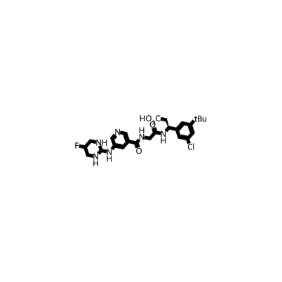 CC(C)(C)c1cc(Cl)cc([C@H](CC(=O)O)NC(=O)CNC(=O)c2cncc(NC3NCC(F)CN3)c2)c1